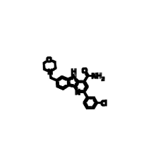 NC(=O)c1cc(-c2cccc(Cl)c2)nc2c1[nH]c1cc(CN3CCOCC3)ccc12